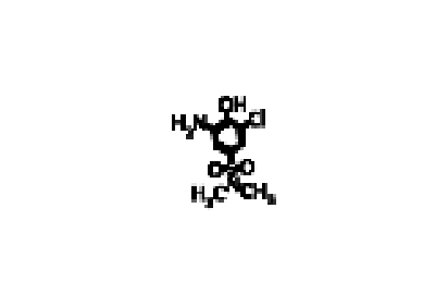 CN(C)S(=O)(=O)c1cc(N)c(O)c(Cl)c1